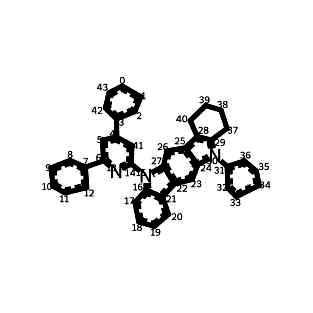 c1ccc(-c2cc(-c3ccccc3)nc(-n3c4ccccc4c4cc5c(cc43)c3c(n5-c4ccccc4)CCCC3)c2)cc1